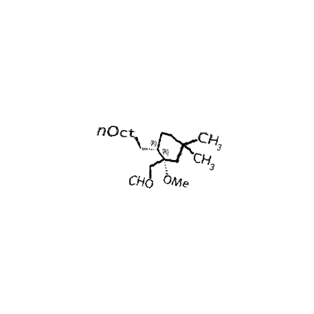 CCCCCCCCC[C@@H]1CCC(C)(C)C[C@]1(CC=O)OC